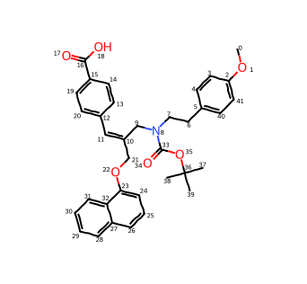 COc1ccc(CCN(CC(=Cc2ccc(C(=O)O)cc2)COc2cccc3ccccc23)C(=O)OC(C)(C)C)cc1